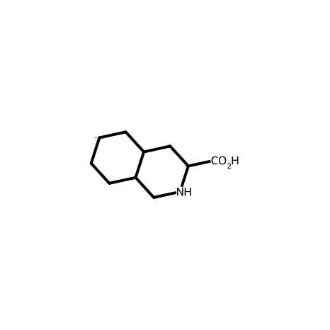 O=C(O)C1CC2C[CH]CCC2CN1